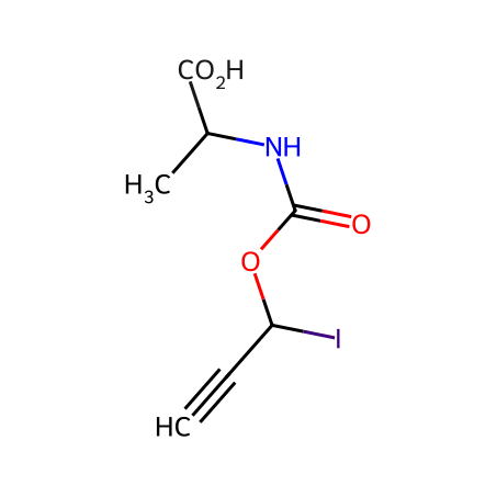 C#CC(I)OC(=O)NC(C)C(=O)O